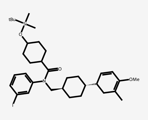 COC1=C(C)CC([C@H]2CC[C@H](CN(C(=O)C3CCC(O[Si](C)(C)C(C)(C)C)CC3)c3cccc(I)c3)CC2)C=C1